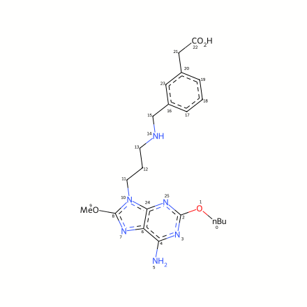 CCCCOc1nc(N)c2nc(OC)n(CCCNCc3cccc(CC(=O)O)c3)c2n1